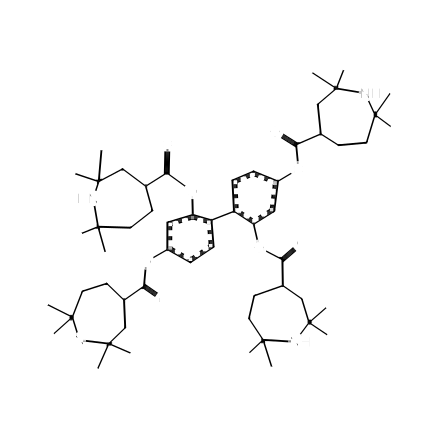 CC1(C)CCC(C(=O)Oc2ccc(-c3ccc(OC(=O)C4CCC(C)(C)NC(C)(C)C4)cc3OC(=O)C3CCC(C)(C)NC(C)(C)C3)c(OC(=O)C3CCC(C)(C)NC(C)(C)C3)c2)CC(C)(C)N1